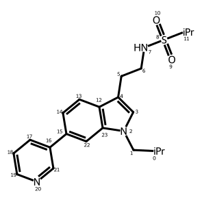 CC(C)Cn1cc(CCNS(=O)(=O)C(C)C)c2ccc(-c3cccnc3)cc21